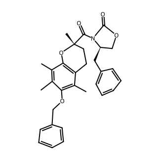 Cc1c(C)c2c(c(C)c1OCc1ccccc1)CC[C@@](C)(C(=O)N1C(=O)OC[C@H]1Cc1ccccc1)O2